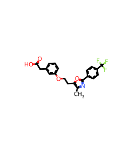 Cc1nc(-c2ccc(C(F)(F)F)cc2)oc1CCOc1cccc(CC(=O)O)c1